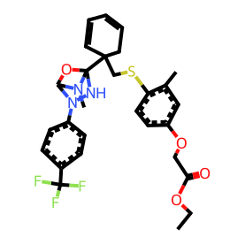 CCOC(=O)COc1ccc(SCC2(C34NN(c5ccc(C(F)(F)F)cc5)C(O3)N4C)C=CC=CC2)c(C)c1